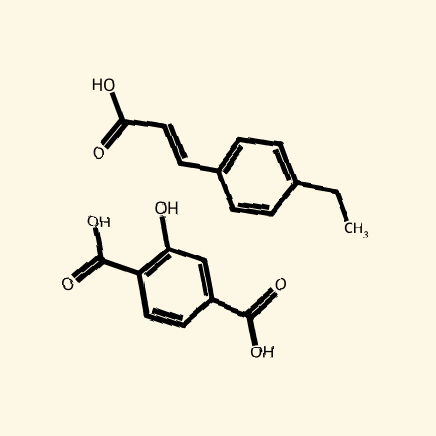 CCc1ccc(C=CC(=O)O)cc1.O=C(O)c1ccc(C(=O)O)c(O)c1